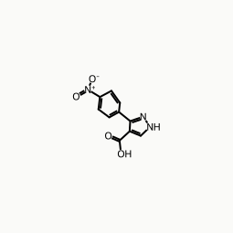 O=C(O)c1c[nH]nc1-c1ccc([N+](=O)[O-])cc1